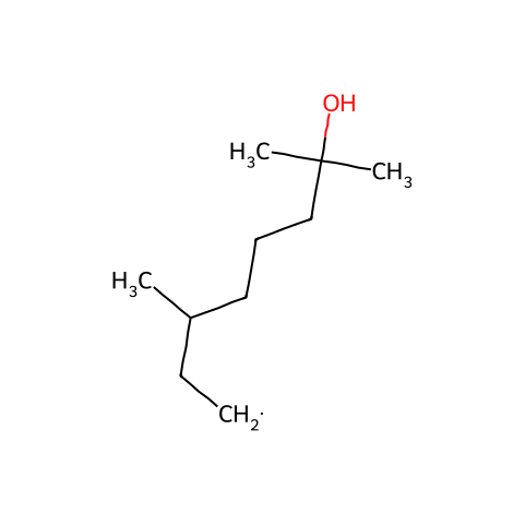 [CH2]CC(C)CCCC(C)(C)O